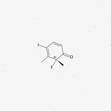 CC1=C(I)C=CC(=O)[C@]1(C)F